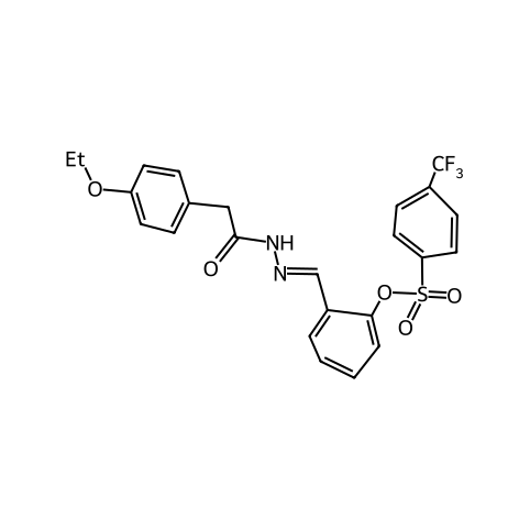 CCOc1ccc(CC(=O)NN=Cc2ccccc2OS(=O)(=O)c2ccc(C(F)(F)F)cc2)cc1